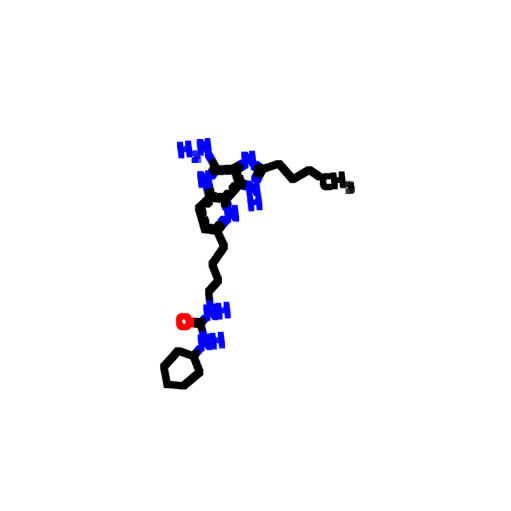 CCCCc1nc2c(N)nc3ccc(CCCCNC(=O)NC4CCCCC4)nc3c2[nH]1